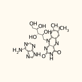 Cc1cc2nc3c(=O)[nH]c(=O)nc-3n(C[C@H](O)[C@H](O)[C@H](O)CO)c2cc1C.Nc1ncnc2[nH]cnc12